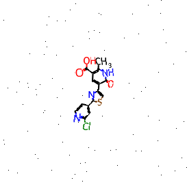 Cc1[nH]c(=O)c(-c2csc(-c3ccnc(Cl)c3)n2)cc1C(=O)O